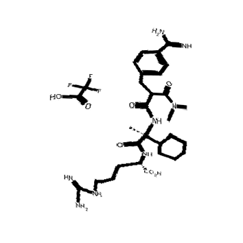 CN(C)C(=O)C(Cc1ccc(C(=N)N)cc1)C(=O)N[C@](C)(C(=O)N[C@@H](CCCNC(=N)N)C(=O)O)C1CCCCC1.O=C(O)C(F)(F)F